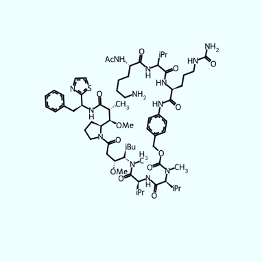 CC[C@H](C)[C@@H]([C@@H](CC(=O)N1CCC[C@H]1[C@H](OC)[C@@H](C)C(=O)N[C@@H](Cc1ccccc1)c1nccs1)OC)N(C)C(=O)[C@@H](NC(=O)[C@H](C(C)C)N(C)C(=O)OCc1ccc(NC(=O)[C@H](CCCNC(N)=O)NC(=O)C(NC(=O)[C@H](CCCCN)NC(C)=O)C(C)C)cc1)C(C)C